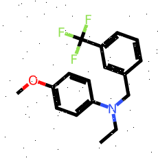 CCN(Cc1cccc(C(F)(F)F)c1)c1ccc(OC)cc1